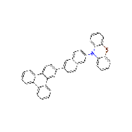 c1ccc2c(c1)Sc1ccccc1N2c1ccc2cc(-c3ccc4c5ccccc5c5ccccc5c4c3)ccc2c1